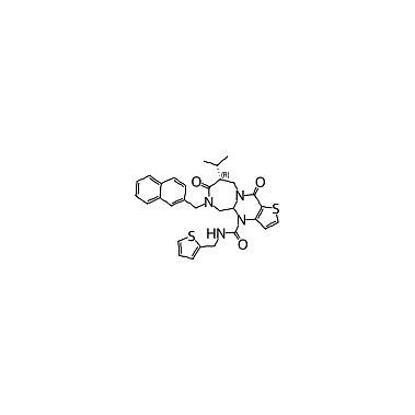 CC(C)[C@@H]1CN2C(=O)c3sccc3N(C(=O)NCc3cccs3)C2CN(Cc2ccc3ccccc3c2)C1=O